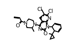 C=CC(=O)N1CCN(c2nc(=O)n(C3C=CC=CC3C3(C)CC3)c3nc(Cl)c(Cl)cc23)C(C)C1